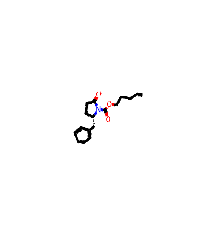 C=CCCCOC(=O)N1C(=O)CC[C@H]1Cc1ccccc1